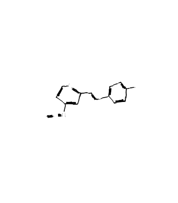 O=C=Nc1ccnc(C=Cc2ccc(F)cc2)c1